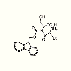 CCC(N)C(=O)N(C(=O)OCC1c2ccccc2-c2ccccc21)[C@@H](CO)C(=O)O